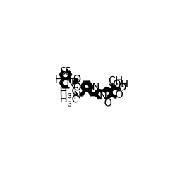 CC[C@]1(O)C(=O)OCc2c1cc1n(c2=O)Cc2cc3c(CN(C)C)c(OC(=O)N4CCC[C@@H]5CSSC[C@@H]54)ccc3nc2-1